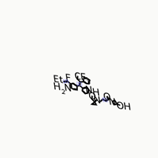 CC/C=C(\F)c1cc(/C(=C(\CC(F)(F)F)c2ccccc2)c2ccc(OCC3(NC/C=C/C(=O)N4CC(O)C4)CC3)nc2)ccc1N